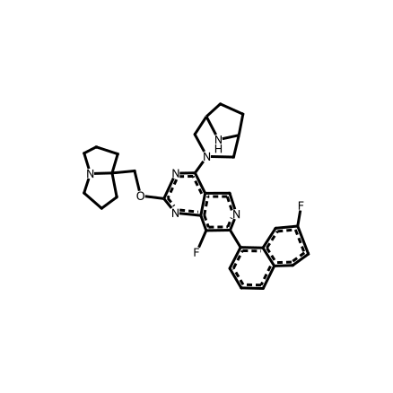 Fc1ccc2cccc(-c3ncc4c(N5CC6CCC(C5)N6)nc(OCC56CCCN5CCC6)nc4c3F)c2c1